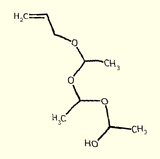 C=CCOC(C)OC(C)OC(C)O